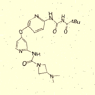 CN(C)C1CN(C(=O)Nc2cc(Oc3ccc(NC(=O)NC(=O)C(C)(C)C)nc3)ccn2)C1